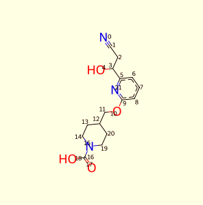 N#CCC(O)c1cccc(OCC2CCN(C(=O)O)CC2)n1